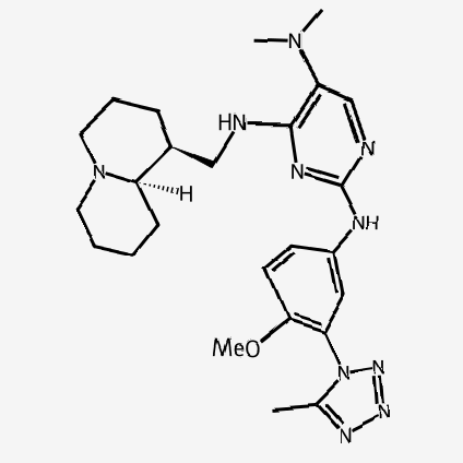 COc1ccc(Nc2ncc(N(C)C)c(NC[C@@H]3CCCN4CCCC[C@H]34)n2)cc1-n1nnnc1C